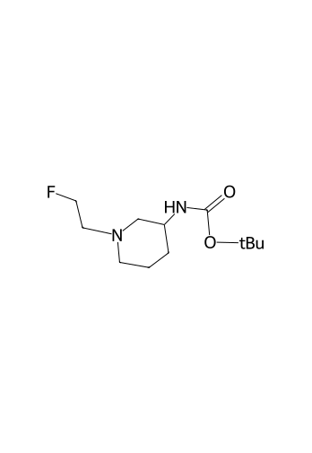 CC(C)(C)OC(=O)NC1CCCN(CCF)C1